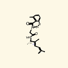 CC(C)=C/C=C(\C)[C@H](C)NC(=O)Cn1nnc2cccc(C)c2c1=O